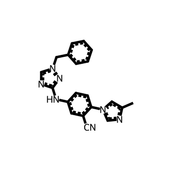 Cc1cn(-c2ccc(Nc3ncn(Cc4ccccc4)n3)cc2C#N)cn1